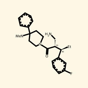 CC[C@@H](c1cccc(F)c1)[C@@H](CN)C(=O)N1CCC(NC)(c2ccccc2)CC1